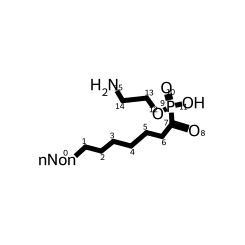 CCCCCCCCCCCCCCCC(=O)P(=O)(O)OCCN